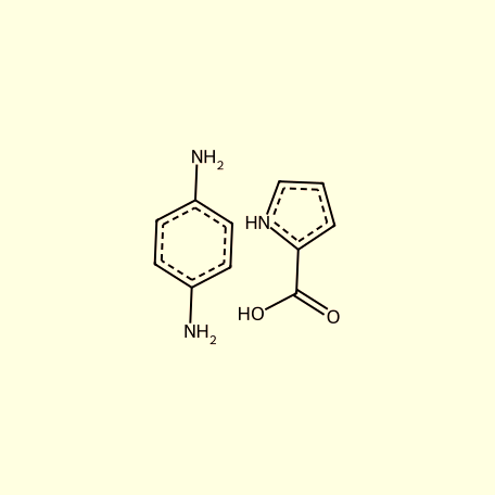 Nc1ccc(N)cc1.O=C(O)c1ccc[nH]1